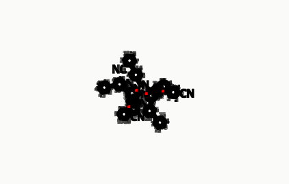 N#Cc1ccc(-c2ccc(-c3nc(-c4ccc(-c5ccccc5C#N)cc4-n4c5ccc(-c6ccccc6)cc5c5cc(-c6ccccc6)ccc54)nc(-c4ccc(-c5ccccc5C#N)cc4-n4c5ccc(-c6ccccc6)cc5c5cc(-c6ccccc6)ccc54)n3)cc2)cc1